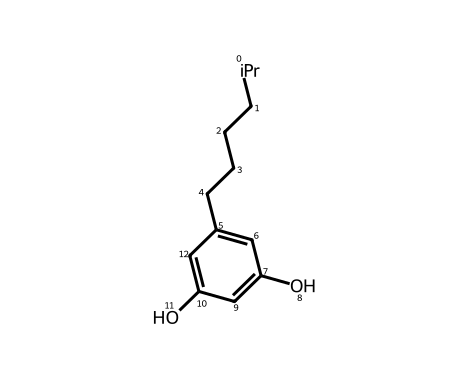 CC(C)CCCCc1cc(O)cc(O)c1